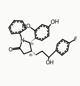 O=C1C[C@@H](CCC(O)c2ccc(F)cc2)[C@@H](c2ccc(O)cc2O)N1c1ccccc1